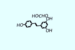 O=CO.Oc1ccc(C=Cc2cc(O)cc(O)c2)cc1